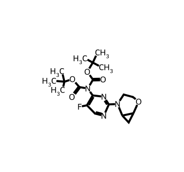 CC(C)(C)OC(=O)N(C(=O)OC(C)(C)C)c1nc(N2CCOC3CC32)ncc1F